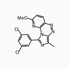 COc1ccc2nnc3c(C)nc(-c4cc(Cl)cc(Cl)c4)n3c2n1